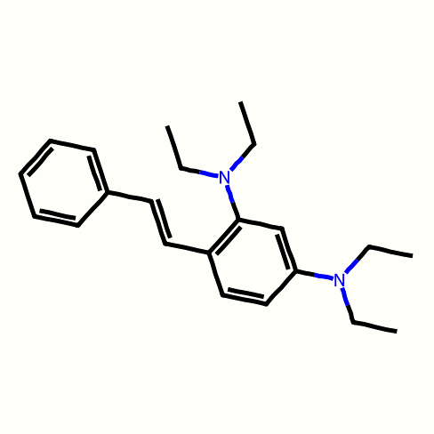 CCN(CC)c1ccc(C=Cc2ccccc2)c(N(CC)CC)c1